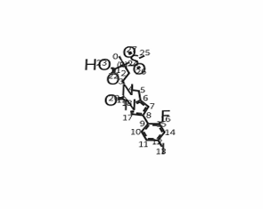 C[C@@](CCN1Cc2cc(-c3ccc(I)cc3F)cn2C1=O)(C(=O)O)S(C)(=O)=O